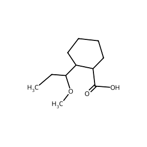 CCC(OC)C1CCCCC1C(=O)O